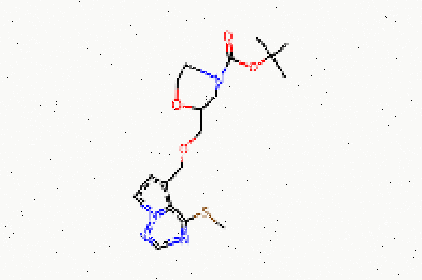 CSc1ncnn2ccc(COCC3CN(C(=O)OC(C)(C)C)CCO3)c12